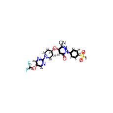 CS(=O)(=O)c1ccc(-n2nc(C#N)c(OC3CCN(c4ncc(OC(F)F)cn4)CC3)cc2=O)cc1